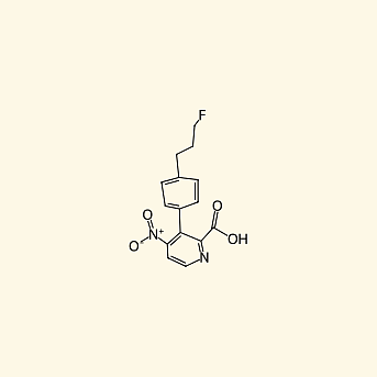 O=C(O)c1nccc([N+](=O)[O-])c1-c1ccc(CCCF)cc1